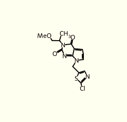 COCC(C)n1c(=O)nc2n(Cc3cnc(Cl)s3)cccc-2c1=O